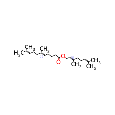 CC(C)=CCC/C(C)=C/CCCC(=O)OC/C=C(\C)CCC=C(C)C